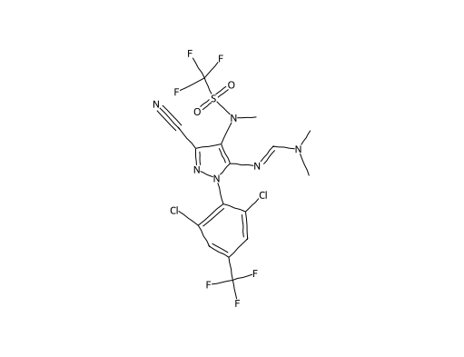 CN(C)C=Nc1c(N(C)S(=O)(=O)C(F)(F)F)c(C#N)nn1-c1c(Cl)cc(C(F)(F)F)cc1Cl